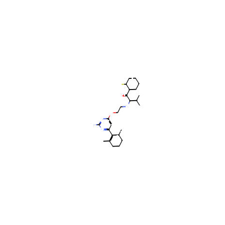 CC1=C(c2cc(OCCNC(C(=O)C3CCCCC3S)C(C)C)nc(N)n2)C(C)CCC1